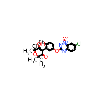 CCc1ccc(Oc2nc3ccc(Cl)cc3[n+]([O-])n2)cc1C1=C(O)C(C)(C)OC(C)(C)C1=O